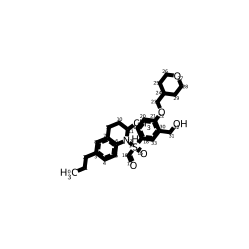 CCCc1ccc2c(c1)CCC(C)N2[SH](=O)(C=O)c1ccc(OCC2CCOCC2)c(CO)c1